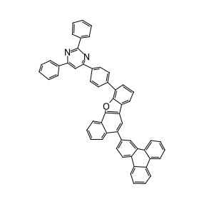 c1ccc(-c2cc(-c3ccc(-c4cccc5c4oc4c6ccccc6c(-c6ccc7c8ccccc8c8ccccc8c7c6)cc54)cc3)nc(-c3ccccc3)n2)cc1